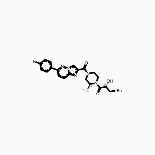 C[C@H]1CN(C(=O)c2cn3nc(-c4ccc(F)cc4)ccc3n2)CCN1C(=O)[C@H](O)CC(C)(C)C